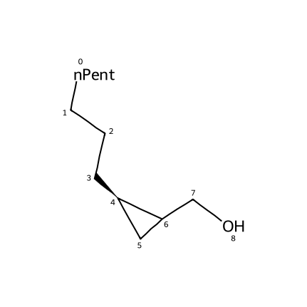 CCCCCCCC[C@@H]1CC1CO